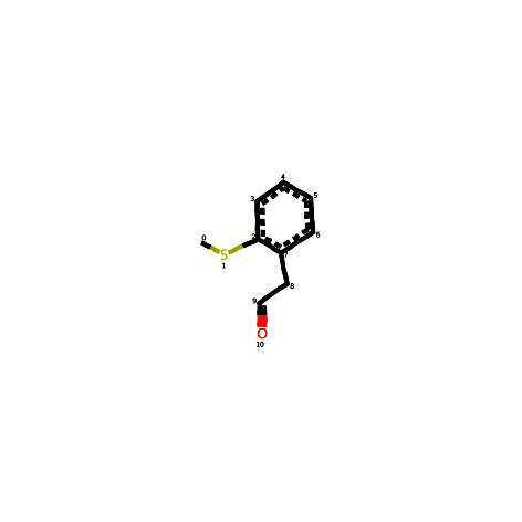 CSc1ccccc1CC=O